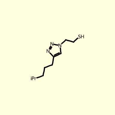 CC(C)CCCc1cn(CCS)nn1